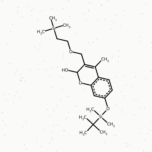 CC1=C(COCC[Si](C)(C)C)C(O)Oc2cc(O[Si](C)(C)C(C)(C)C)ccc21